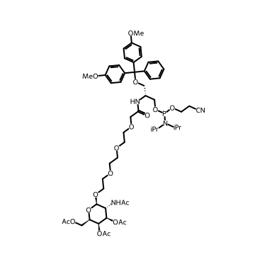 COc1ccc(C(OC[C@H](COP(OCCC#N)N(C(C)C)C(C)C)NC(=O)COCCOCCOCCO[C@@H]2O[C@H](COC(C)=O)[C@H](OC(C)=O)[C@H](OC(C)=O)[C@H]2NC(C)=O)(c2ccccc2)c2ccc(OC)cc2)cc1